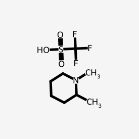 CC1CCCCN1C.O=S(=O)(O)C(F)(F)F